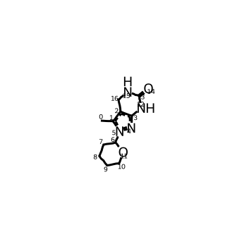 Cc1c2c(nn1C1CCCCO1)NC(=O)NC2